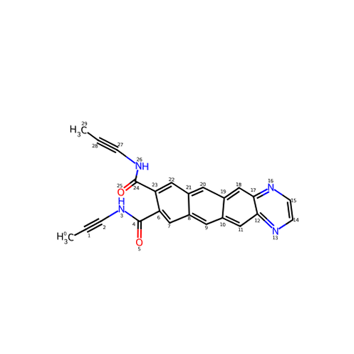 CC#CNC(=O)c1cc2cc3cc4nccnc4cc3cc2cc1C(=O)NC#CC